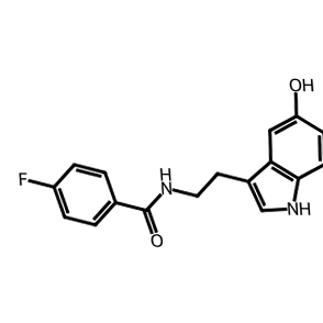 O=C(NCCc1c[nH]c2ccc(O)cc12)c1ccc(F)cc1